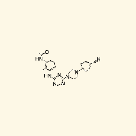 CC(=O)Nc1cccc(Nc2ncnc(N3CCN(c4ccc(C#N)cc4)CC3)n2)c1C